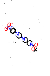 CC(C)(C)OC(=O)N1CCC2(CC1)CCN(C1CCN(c3ccc([N+](=O)[O-])cc3)CC1)CC2